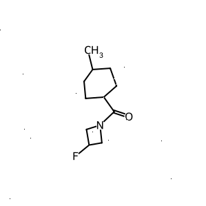 CC1CCC(C(=O)N2CC(F)C2)CC1